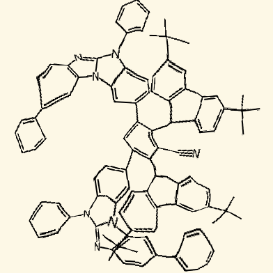 CC(C)(C)c1ccc2c(c1)-c1cc(C(C)(C)C)ccc1C2c1c(-c2ccc3c(c2)n2c4cc(-c5ccccc5)ccc4nc2n3-c2ccccc2)cc(-c2ccc3c(c2)n2c4cc(-c5ccccc5)ccc4nc2n3-c2ccccc2)c(C2c3ccc(C(C)(C)C)cc3-c3cc(C(C)(C)C)ccc32)c1C#N